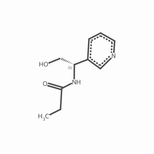 CCC(=O)N[C@H](CO)c1cccnc1